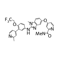 CNC(=O)c1cc(Oc2ccc3c(c2)nc(Nc2ccc(OCC(F)(F)F)c(-c4ccnc(C)c4)c2)n3C)ccn1